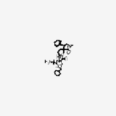 CN1CC(c2ccccc2)C2(CCCN(C(=O)[C@@H](COCC3CCCCC3)NC(=O)C(C)(C)N)C2)C1=O